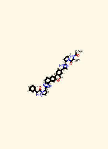 COC(=O)N[C@H](C(=O)N1[C@@H](C)CC[C@H]1c1ncc(-c2ccc3c(c2)COc2cc4c(ccc5nc(C6CCCN6C(=O)[C@H](N)c6ccccc6)[nH]c54)cc2-3)[nH]1)C(C)C